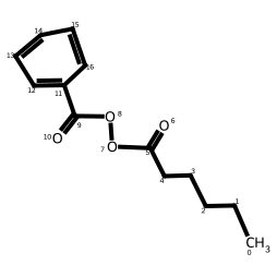 CCCCCC(=O)OOC(=O)c1ccccc1